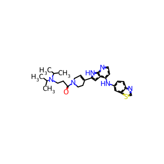 CC(C)N(CCC(=O)N1CC=C(c2cc3c(Nc4ccc5ncsc5c4)ccnc3[nH]2)CC1)C(C)C